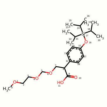 COCCOCOCC(C(=O)O)c1ccc(O[Si](C(C)C)(C(C)C)C(C)C)cc1